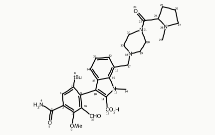 COc1c(C(N)=O)cc(C(C)(C)C)c(-c2c(C(=O)O)n(C)c3c(CN4CCN(C(=O)C5CCCN5C)CC4)cccc23)c1C=O